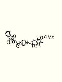 COCOc1c(C)c(C)c2c(c1C)CCC(C)(CCN1CCN(C(=O)CON3C(=O)c4ccccc4C3=O)CC1)O2